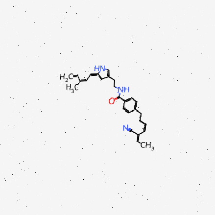 C=C/C(C)=C\C=C1/CC(CCNC(=O)c2ccc(CC/C=C\C(C#N)=C/C)cc2)=CN1